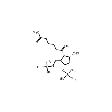 C=C(CCCCC(=O)OC)[C@H]1[C@H](CO[Si](C)(C)C(C)(C)C)[C@@H](O[Si](C)(C)C(C)(C)C)C[C@H]1C=O